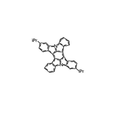 CC(C)c1ccc2c3c4c5ccccc5n5c6cc(C(C)C)ccc6c(c6c7ccccc7n(c2c1)c63)c45